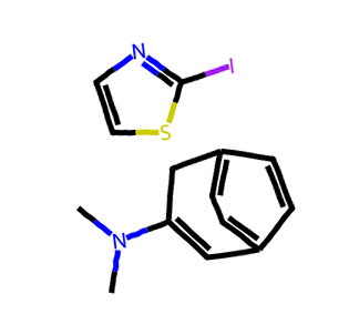 CN(C)C1=Cc2ccc(cc2)C1.Ic1nccs1